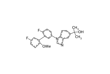 COc1ccc(F)cc1-c1cc(-n2cnc3cc(C(C)(C)O)ccc32)ccc1F